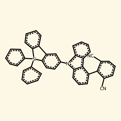 N#Cc1cccc(C#N)c1-c1cccc2c1c1ccccc1n2-c1ccc2c(c1)-c1ccccc1[Si]2(c1ccccc1)c1ccccc1